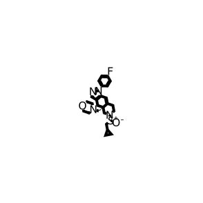 [O-][S+](CC1CC1)N1CCC2=Cc3c(cnn3-c3ccc(F)cc3)C[C@]2(CN2CCOCC2)C1